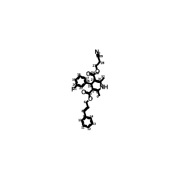 CC1=C(C(=O)OCC=Cc2ccccc2)C(c2cccc(F)c2)C(C(=O)OCCC#N)=C(C)N1